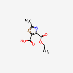 CCOC(=O)c1nc(C)sc1C(=O)O